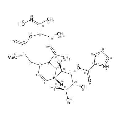 CO[C@H]1CC2C=C[C@@H]3C[C@]2(O[C@H]3[C@H](OC(=O)c2ccc[nH]2)[C@H](C)[C@H](C)O)/C(C)=C/[C@@H](C)[C@@H](/C(C)=N\O)OC1=O